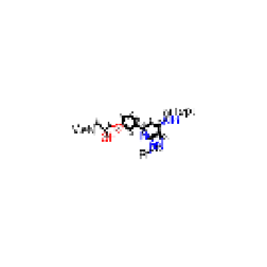 CCCCCCCNc1cc(-c2cccc(OCC(O)CNC)c2)nc2c1cnn2C(C)C